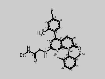 CCNC(=O)CNc1nc(-c2ccc(F)cc2C)c2ccc(=O)n(-c3c(F)cccc3F)c2n1